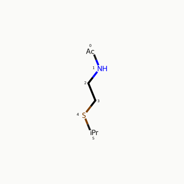 CC(=O)NCCSC(C)C